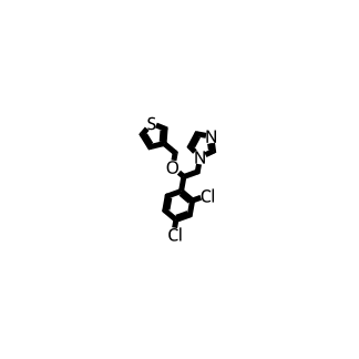 Clc1ccc(C(Cn2ccnc2)OCc2ccsc2)c(Cl)c1